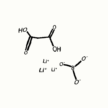 O=C(O)C(=O)O.[Li+].[Li+].[Li+].[O-]B([O-])[O-]